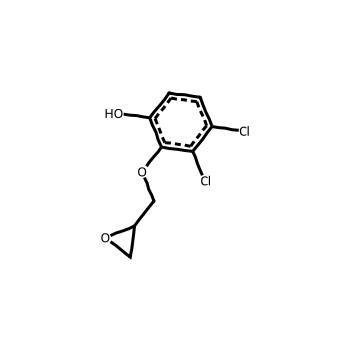 Oc1ccc(Cl)c(Cl)c1OCC1CO1